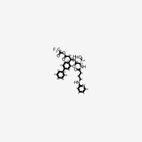 O=C(CCCNc1ccccn1)N[C@@H](CO)C(=O)NC(CC(=O)OC(=O)C(F)(F)F)c1ccc(-c2ccccc2)cc1